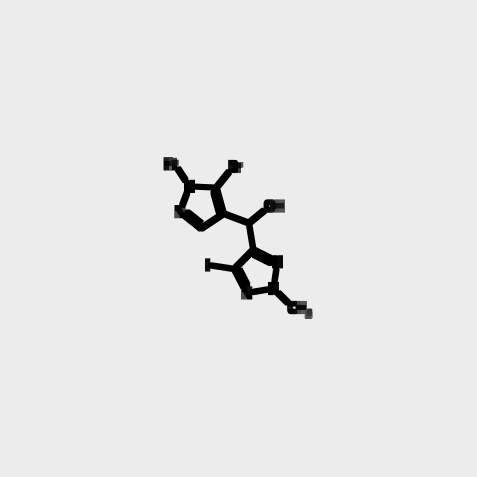 CCn1ncc(C(O)c2nn(C)nc2I)c1Br